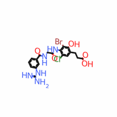 N=C(N)Nc1cccc(C(=O)NCC(=O)Nc2c(Cl)cc(CCC(=O)O)c(O)c2Br)c1